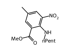 CCCCCNc1c(C(=O)OC)cc(C)cc1[N+](=O)[O-]